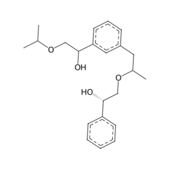 CC(C)OCC(O)c1cccc(CC(C)OC[C@@H](O)c2ccccc2)c1